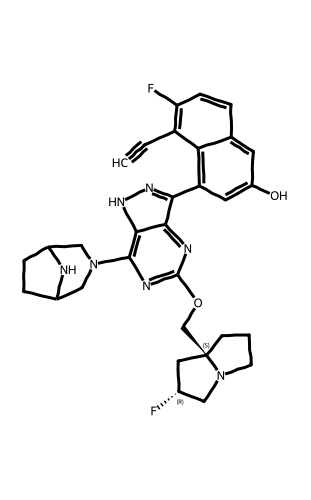 C#Cc1c(F)ccc2cc(O)cc(-c3n[nH]c4c(N5CC6CCC(C5)N6)nc(OC[C@@]56CCCN5C[C@H](F)C6)nc34)c12